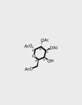 CC(=O)OC[C@H]1O[C@H](OC(C)=O)[C@H](OC(C)=O)[C@@H](OC(C)=O)[C@H]1O